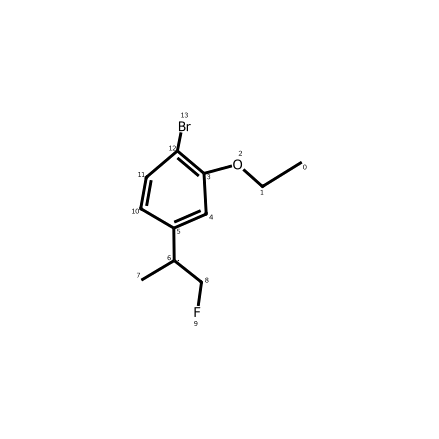 CCOc1cc([C](C)CF)ccc1Br